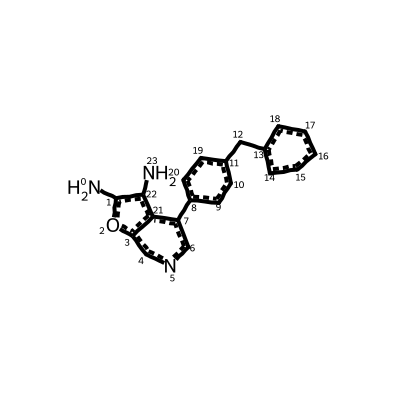 Nc1oc2cncc(-c3ccc(Cc4ccccc4)cc3)c2c1N